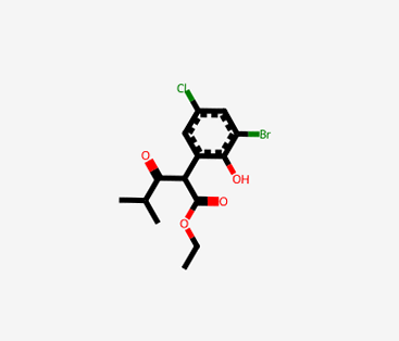 CCOC(=O)C(C(=O)C(C)C)c1cc(Cl)cc(Br)c1O